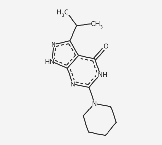 CC(C)c1n[nH]c2nc(N3CCCCC3)[nH]c(=O)c12